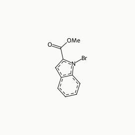 COC(=O)c1cc2ccccc2n1Br